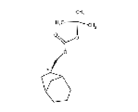 CC(C)(C)OC(=O)OC[C@@H]1CC2CCCC1C2